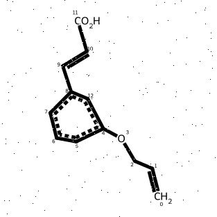 C=CCOc1cccc(C=CC(=O)O)c1